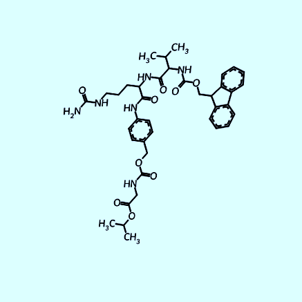 CC(C)OC(=O)CNC(=O)OCc1ccc(NC(=O)C(CCCNC(N)=O)NC(=O)C(NC(=O)OCC2c3ccccc3-c3ccccc32)C(C)C)cc1